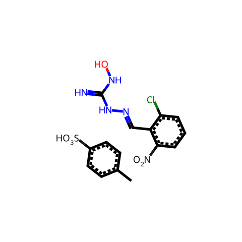 Cc1ccc(S(=O)(=O)O)cc1.N=C(NO)NN=Cc1c(Cl)cccc1[N+](=O)[O-]